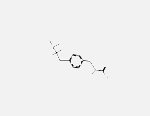 CC(C)(Cc1ccc(CC(Br)C(=O)O)cc1)[Si](C)(C)O